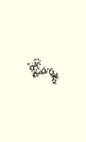 C[C@@H]1COC[C@@H](C)N1C(=O)c1cc(F)ccc1Oc1cncnc1N1CC2(CCN(C[C@@H]3CC[C@@H](NS(=O)(=O)N4CCCC4)CO3)CC2)C1